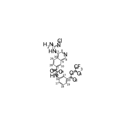 NC(=NCl)Nc1cncc2cc(S(=O)(=O)Nc3cccc(C(=O)OC(=O)C(F)(F)F)c3)ccc12